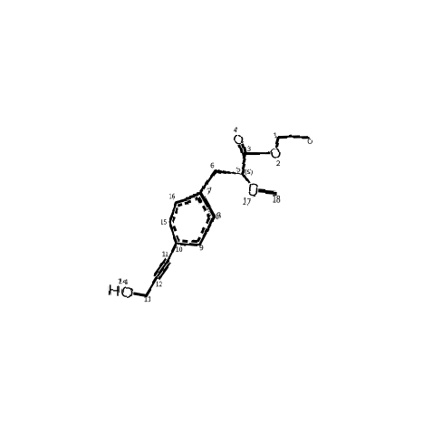 CCOC(=O)[C@H](Cc1ccc(C#CCO)cc1)OC